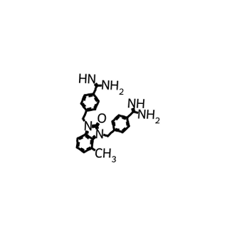 Cc1cccc2c1n(Cc1ccc(C(=N)N)cc1)c(=O)n2Cc1ccc(C(=N)N)cc1